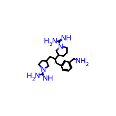 N=C(N)N1CCC(CC([CH]c2cccc(CN)c2)C2CCCN(C(=N)N)C2)C1